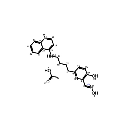 CC(=O)O.O/N=C/c1nc(CCCCNc2ccnc3ccccc23)ccc1O